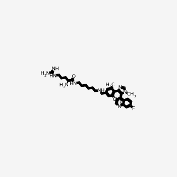 Cc1cc(CNCCCCCCNC(=O)[C@@H](N)CCCNC(=N)N)cc(C)c1-c1ncn(C)c1-c1ccnc2cc(F)ccc12